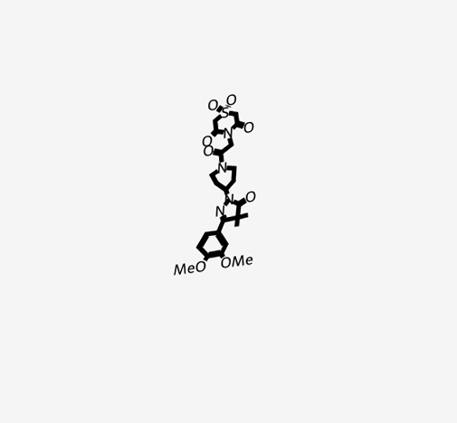 COc1ccc(C2=NN(C3CCN(C(=O)CN4C(=O)CS(=O)(=O)CC4=O)CC3)C(=O)C2(C)C)cc1OC